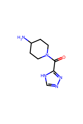 NC1CCN(C(=O)c2nnc[nH]2)CC1